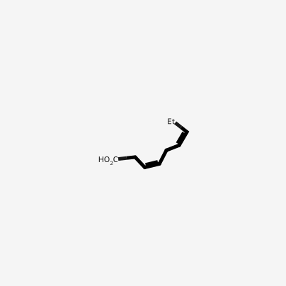 CC/C=C\C/C=C\CC(=O)O